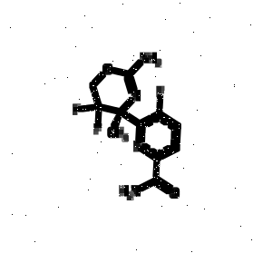 C[C@]1(c2nc(C(N)=O)ccc2F)N=C(N)OCC1(F)F